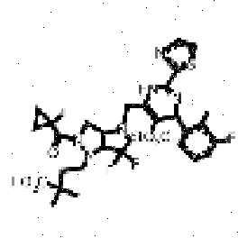 CCOC(=O)C1=C(CN2CC(F)(F)C3C2CN(C(=O)C2(F)CC2)N3CCC(C)(C)C(=O)O)NC(c2nccs2)=NC1c1cccc(F)c1C